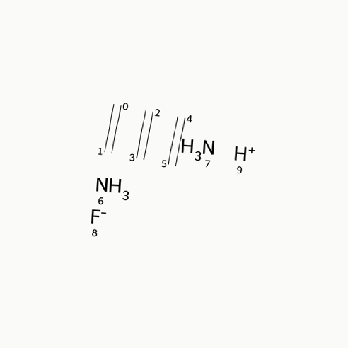 C=C.C=C.C=C.N.N.[F-].[H+]